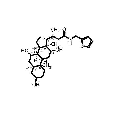 C[C@H](CC(=O)NCc1cccs1)[C@H]1CC[C@H]2[C@@H]3[C@H](O)C[C@@H]4C[C@H](O)CC[C@]4(C)[C@H]3C[C@H](O)[C@]12C